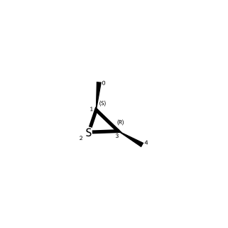 C[C@@H]1S[C@@H]1C